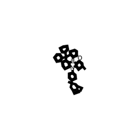 Cc1cc2c3c(c1)N(c1ccc(C4(C)C=C5CC6=CC(C4)C65)cc1)c1cccc4c1B3c1c(cccc1C4(c1ccccc1)c1ccccc1)O2